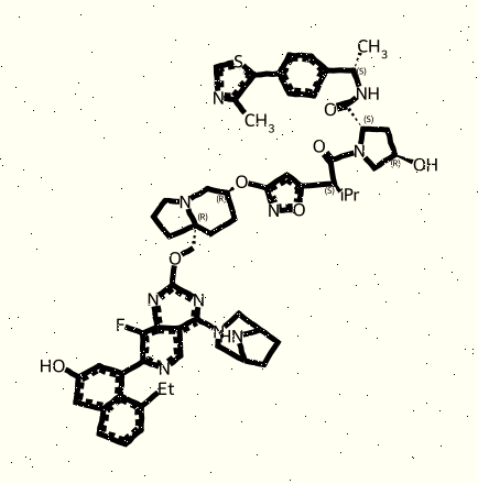 CCc1cccc2cc(O)cc(-c3ncc4c(N5CC6CCC(C5)N6)nc(OC[C@]56CCCN5C[C@H](Oc5cc([C@@H](C(=O)N7C[C@H](O)C[C@H]7C(=O)N[C@@H](C)c7ccc(-c8scnc8C)cc7)C(C)C)on5)CC6)nc4c3F)c12